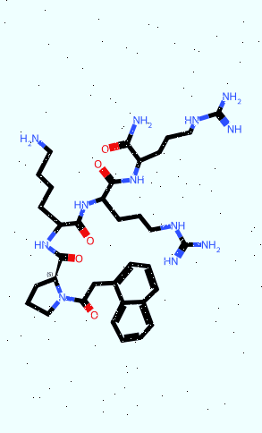 N=C(N)NCCCC(NC(=O)C(CCCNC(=N)N)NC(=O)C(CCCCN)NC(=O)[C@@H]1CCCN1C(=O)Cc1cccc2ccccc12)C(N)=O